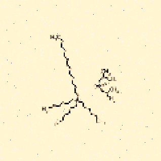 CC(C)CP(=S)([S-])CC(C)C.CCCCCCCCCCCCCC[P+](CCCCCC)(CCCCCC)CCCCCC